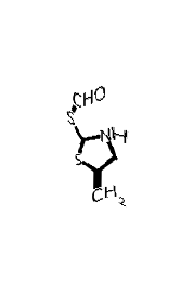 C=C1CNC(SC=O)S1